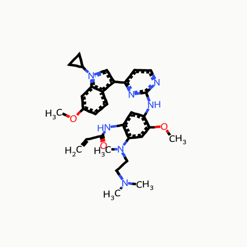 C=CC(=O)Nc1cc(Nc2nccc(-c3cn(C4CC4)c4cc(OC)ccc34)n2)c(OC)cc1N(C)CCN(C)C